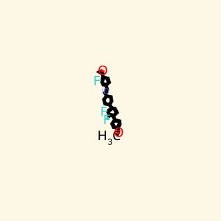 COc1ccc(-c2ccc(C3CCC(/C=C/c4ccc(C5CO5)c(F)c4)CC3)c(F)c2F)cc1